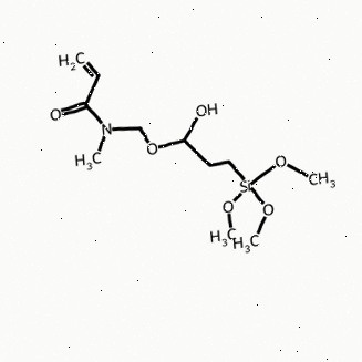 C=CC(=O)N(C)COC(O)CC[Si](OC)(OC)OC